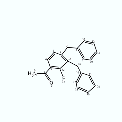 NC(=O)c1ccc(Cc2ccccc2)c(Cc2ccccc2)c1F